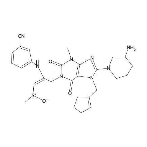 Cn1c(=O)n(CC(=C[S+](C)[O-])Nc2cccc(C#N)c2)c(=O)c2c1nc(N1CCCC(N)C1)n2CC1=CCCC1